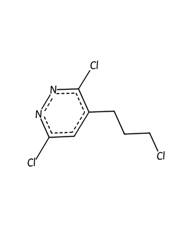 ClCCCc1cc(Cl)nnc1Cl